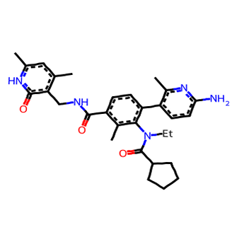 CCN(C(=O)C1CCCC1)c1c(-c2ccc(N)nc2C)ccc(C(=O)NCc2c(C)cc(C)[nH]c2=O)c1C